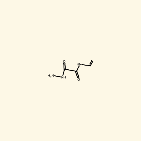 C=CNC(=O)C(=O)NN